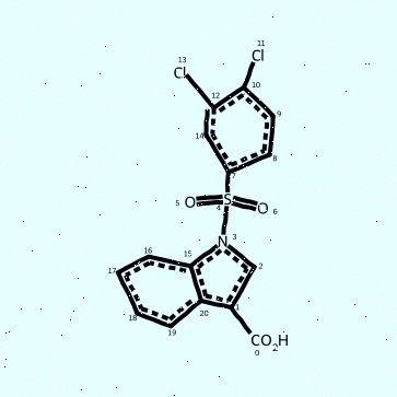 O=C(O)c1cn(S(=O)(=O)c2ccc(Cl)c(Cl)c2)c2ccccc12